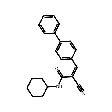 N#CC(=Cc1ccc(-c2ccccc2)cc1)C(=O)NC1CCCCC1